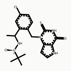 CC(N[S@+]([O-])C(C)(C)C)c1cc(Cl)ccc1Cn1c(=S)[nH]c(=O)c2[nH]ccc21